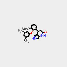 COc1cccc(C2CC(=O)Nc3c[nH]cc32)c1Oc1cc(C(F)(F)F)cc(C(F)(F)F)c1